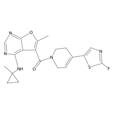 Cc1oc2ncnc(NC3(C)CC3)c2c1C(=O)N1CC=C(c2cnc(F)s2)CC1